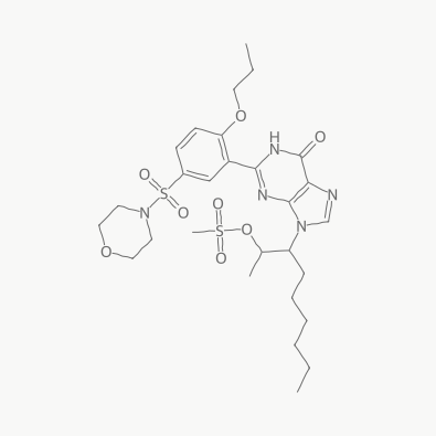 CCCCCCC(C(C)OS(C)(=O)=O)n1cnc2c(=O)[nH]c(-c3cc(S(=O)(=O)N4CCOCC4)ccc3OCCC)nc21